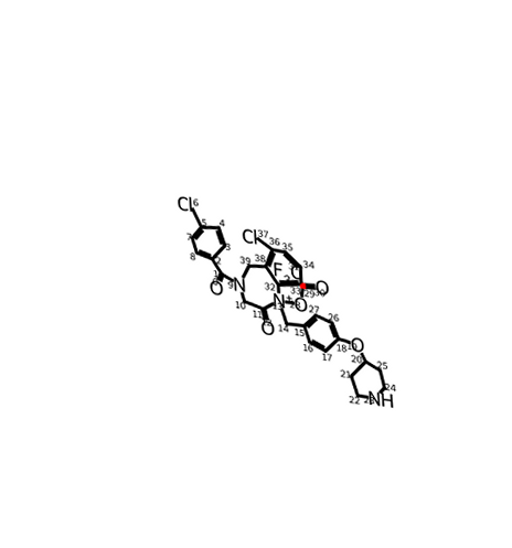 O=C(c1ccc(Cl)cc1)N1CC(=O)[N+](Cc2ccc(OC3CCNCC3)cc2)(OC(=O)C(F)(F)F)c2cccc(Cl)c2C1